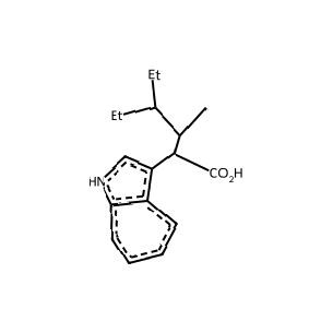 CCC(CC)C(C)C(C(=O)O)c1c[nH]c2ccccc12